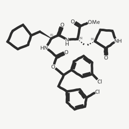 COC(=O)[C@H](C[C@@H]1CCNC1=O)NC(=O)[C@H](CC1CCCCC1)NC(=O)OC(Cc1cccc(Cl)c1)c1cccc(Cl)c1